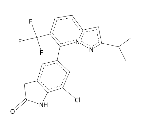 CC(C)c1cc2ccc(C(F)(F)F)c(-c3cc(Cl)c4c(c3)CC(=O)N4)n2n1